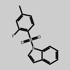 Cc1ccc(S(=O)(=O)n2ccc3ccccc32)c(F)c1